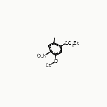 CCOC(=O)c1cc(OCC)c([N+](=O)[O-])cc1C